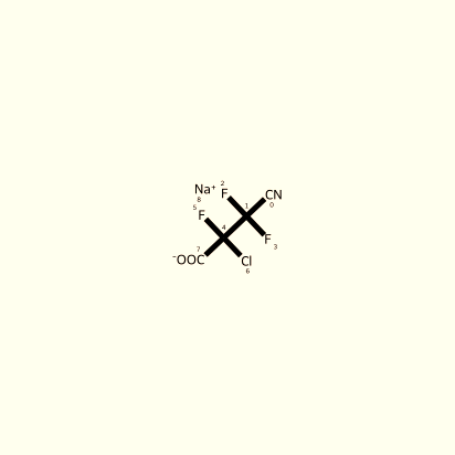 N#CC(F)(F)C(F)(Cl)C(=O)[O-].[Na+]